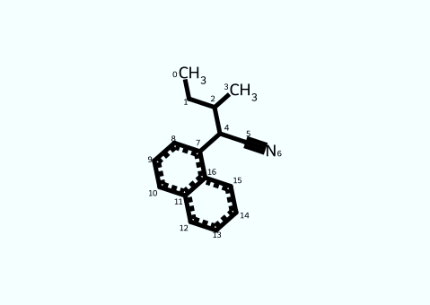 CCC(C)C(C#N)c1cccc2ccccc12